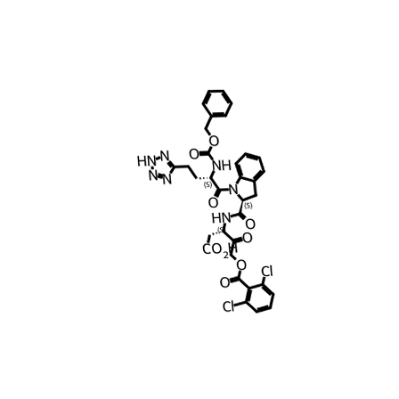 O=C(O)C[C@H](NC(=O)[C@@H]1Cc2ccccc2N1C(=O)[C@H](CCc1nn[nH]n1)NC(=O)OCc1ccccc1)C(=O)COC(=O)c1c(Cl)cccc1Cl